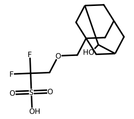 O=S(=O)(O)C(F)(F)COCC12CC3CC(C1)C(O)C(C3)C2